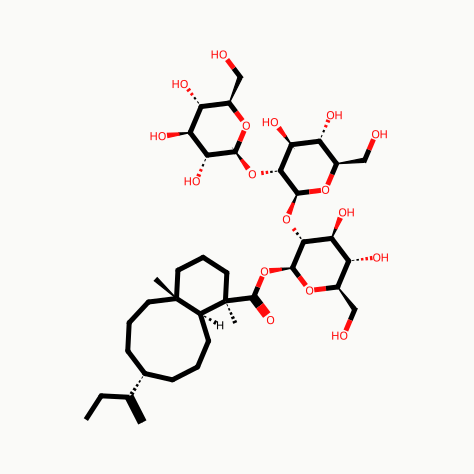 C=C(CC)[C@H]1CCC[C@H]2[C@](C)(CCC1)CCC[C@@]2(C)C(=O)O[C@@H]1O[C@H](CO)[C@@H](O)[C@H](O)[C@H]1O[C@@H]1O[C@H](CO)[C@@H](O)[C@H](O)[C@H]1O[C@@H]1O[C@H](CO)[C@@H](O)[C@H](O)[C@H]1O